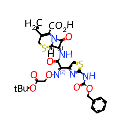 C=CC1=C(C(=O)O)N2C(=O)[C@@H](NC(=O)/C(=N\OCC(=O)OC(C)(C)C)c3csc(NC(=O)OCc4ccccc4)n3)[C@H]2SC1